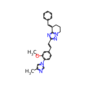 COc1cc(/C=C/c2nc3n(n2)CCC/C3=C\c2ccccc2)ccc1-n1cnc(C)c1